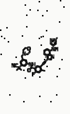 Cc1cc(F)c(C(=O)Nc2cc(CN3CCOCC3)cc(C(C)(C)C#N)c2)cc1C#Cc1cnc2c(Nc3cnn(C)c3)cccn12